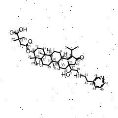 CC(C)C1=C2[C@H]3CC[C@@H]4[C@@]5(C)CC[C@H](OC(=O)CC(C)(C)C(=O)O)C(C)(C)[C@@H]5CC[C@@]4(C)[C@]3(C)CCC2(C(O)CNCCc2cccnc2)CC1=O